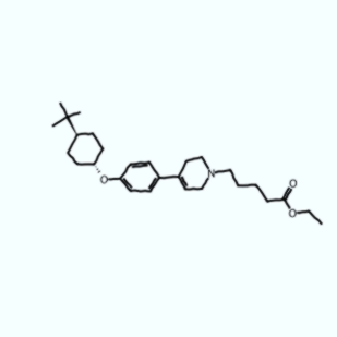 CCOC(=O)CCCCN1CC=C(c2ccc(O[C@H]3CC[C@H](C(C)(C)C)CC3)cc2)CC1